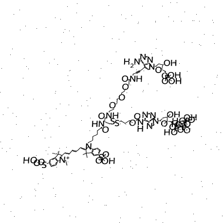 CC[N+]1=C(/C=C/C=C/C=C2/N(CCCCCC(=O)NC(CSSCCCOC(=O)Nc3ncnc4c3ncn4[C@H]3C[C@@H](O)[C@@H](COP(=O)(O)OP(=O)(O)OP(=O)(O)O)O3)C(=O)NCCOCCOCCOCC(=O)NCC#Cc3cn([C@H]4C[C@@H](O)[C@@H](COP(=O)(O)O)O4)c4ncnc(N)c34)c3ccc(S(=O)(=O)O)cc3C2(C)C)C(C)(C)c2cc(SOOO)ccc21